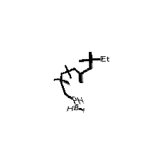 C=C(CC(C)(C)CC)CC(C)(C)CC(C)(C)CPBI